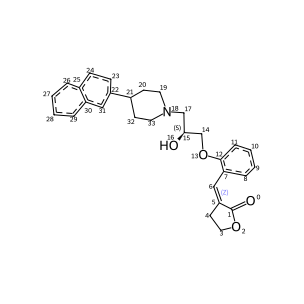 O=C1OCC/C1=C/c1ccccc1OC[C@@H](O)CN1CCC(c2ccc3ccccc3c2)CC1